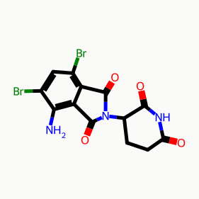 Nc1c(Br)cc(Br)c2c1C(=O)N(C1CCC(=O)NC1=O)C2=O